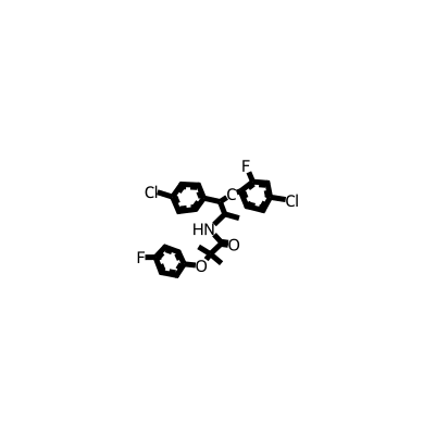 CC(NC(=O)C(C)(C)Oc1ccc(F)cc1)C(Cc1ccc(Cl)cc1F)c1ccc(Cl)cc1